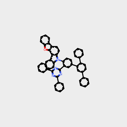 c1ccc(-c2ccc(-c3ccccc3)c(-c3ccc(-n4c5ccccc5c5c6oc7ccccc7c6ccc54)c(-c4nc(-c5ccccc5)nc(-c5ccccc5)n4)c3)c2)cc1